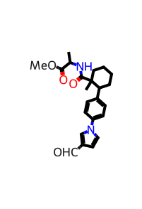 COC(=O)C(C)NC(=O)C1(C)CCCCC1c1ccc(-n2ccc(C=O)c2)cc1